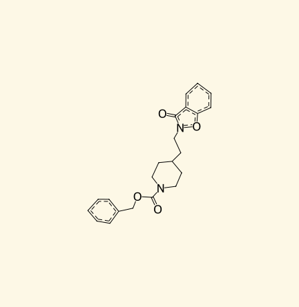 O=C(OCc1ccccc1)N1CCC(CCn2oc3ccccc3c2=O)CC1